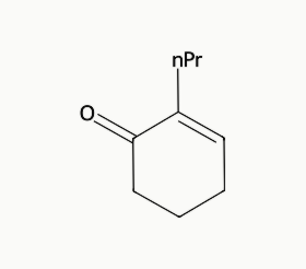 CCCC1=CCCCC1=O